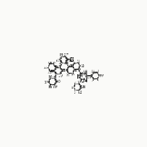 c1ccc(-c2nc(-c3ccccc3)nc(-c3ccc4c5c(cccc35)-c3c(cccc3-c3ccc(-c5ccccc5)c5ccccc35)O4)n2)cc1